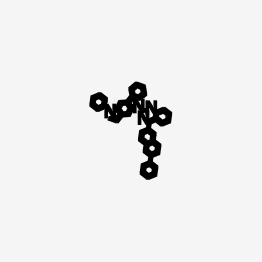 c1ccc(-c2ccc3cc(-c4nc(-n5c6ccccc6c6cc7c(ccn7-c7ccccc7)cc65)nc5ccccc45)ccc3c2)cc1